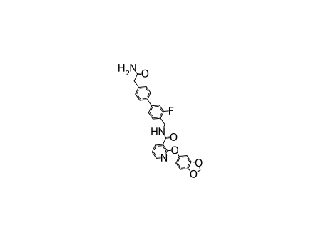 NC(=O)Cc1ccc(-c2ccc(CNC(=O)c3cccnc3Oc3ccc4c(c3)OCO4)c(F)c2)cc1